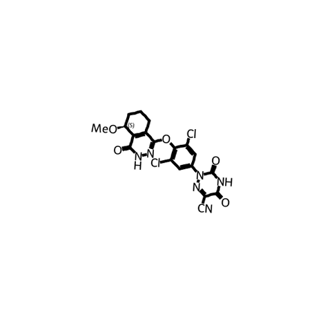 CO[C@H]1CCCc2c(Oc3c(Cl)cc(-n4nc(C#N)c(=O)[nH]c4=O)cc3Cl)n[nH]c(=O)c21